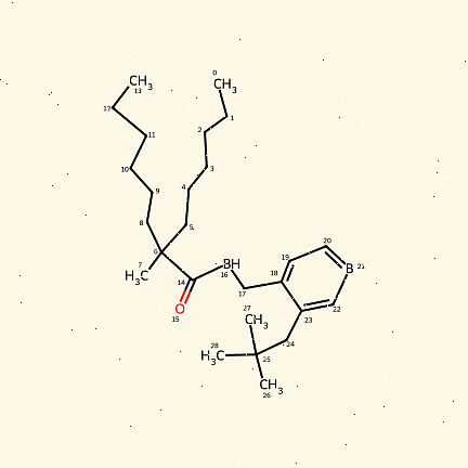 CCCCCCC(C)(CCCCCC)C(=O)BCc1ccbcc1CC(C)(C)C